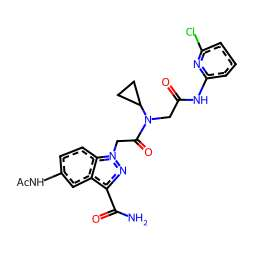 CC(=O)Nc1ccc2c(c1)c(C(N)=O)nn2CC(=O)N(CC(=O)Nc1cccc(Cl)n1)C1CC1